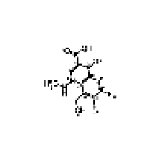 CNn1cc(C(=O)O)c(=O)c2cc(F)c(F)c(CO)c21